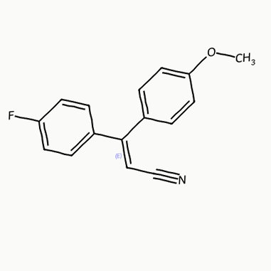 COc1ccc(/C(=C\C#N)c2ccc(F)cc2)cc1